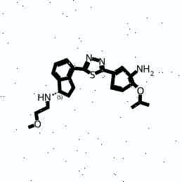 COCCN[C@H]1CCc2c(-c3nnc(-c4ccc(OC(C)C)c(N)c4)s3)cccc21